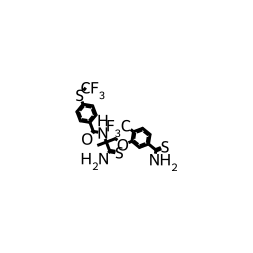 CC(COc1cc(C(N)=S)ccc1C(F)(F)F)(NC(=O)c1ccc(SC(F)(F)F)cc1)C(N)=S